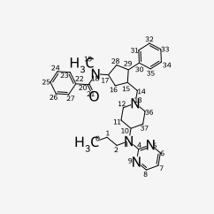 CCCN(c1ncccn1)C1CCN(CC2CC(N(C)C(=O)c3ccccc3)CC2c2ccccc2)CC1